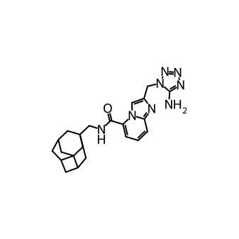 Nc1nnnn1Cc1cn2c(C(=O)NCC34CC5CC6CC(C3)C6(C5)C4)cccc2n1